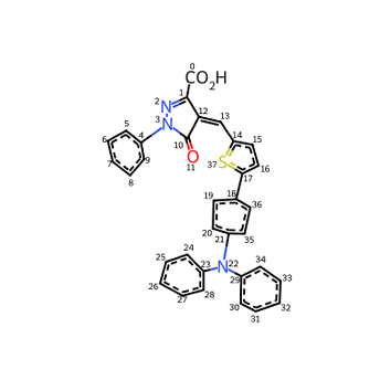 O=C(O)C1=NN(c2ccccc2)C(=O)/C1=C\c1ccc(-c2ccc(N(c3ccccc3)c3ccccc3)cc2)s1